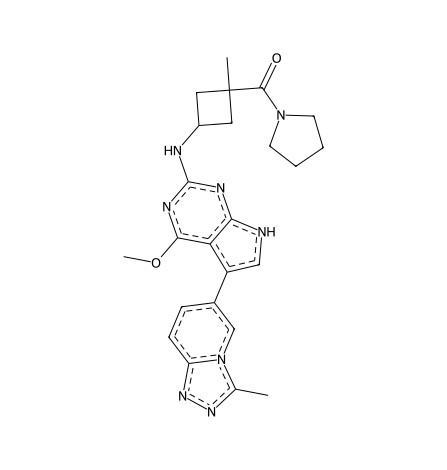 COc1nc(NC2CC(C)(C(=O)N3CCCC3)C2)nc2[nH]cc(-c3ccc4nnc(C)n4c3)c12